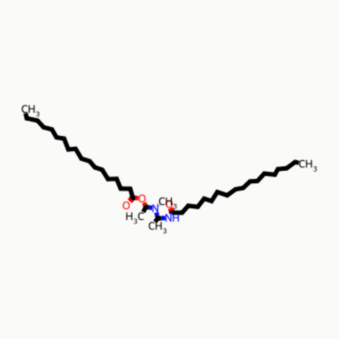 CCCCCCCCCCCCCCCCCC(=O)NC(C)N(C)C(C)OC(=O)CCCCCCCCCCCCCCCCC